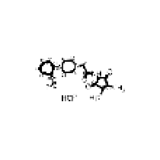 CC1=C(C)C(=O)C(NC(=O)CN2CCN(c3ccccc3OC(C)C)CC2)C1=O.Cl